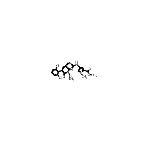 COC(=O)c1cc(Nc2ncc3cc(-c4c(Cl)cccc4Cl)c(=O)n(OC)c3n2)cn1C